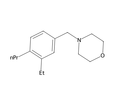 CCCc1ccc(CN2CCOCC2)cc1CC